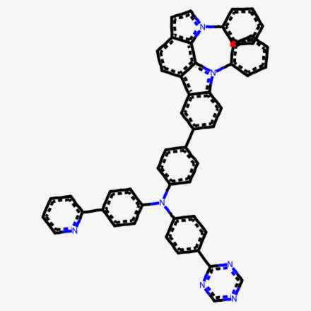 c1ccc(-n2ccc3ccc4c5cc(-c6ccc(N(c7ccc(-c8ccccn8)cc7)c7ccc(-c8ncncn8)cc7)cc6)ccc5n(-c5ccccc5)c4c32)cc1